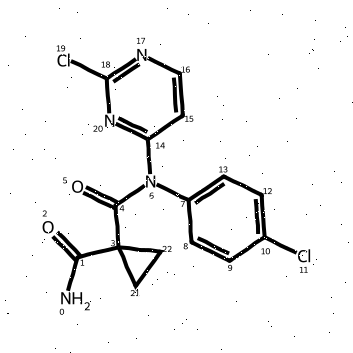 NC(=O)C1(C(=O)N(c2ccc(Cl)cc2)c2ccnc(Cl)n2)CC1